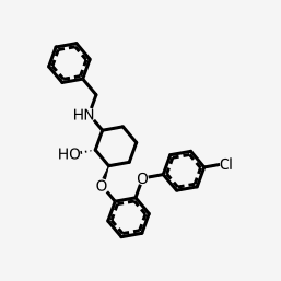 O[C@@H]1C(NCc2ccccc2)CCC[C@H]1Oc1ccccc1Oc1ccc(Cl)cc1